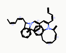 C=C/C=C\C(=CC(/C=C\C=C)=C/N1c2ccccc2C1/C=C\C=C/C)N1C(=C)/C=C\C=C/Cc2ccccc21